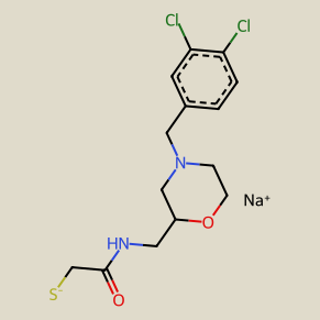 O=C(C[S-])NCC1CN(Cc2ccc(Cl)c(Cl)c2)CCO1.[Na+]